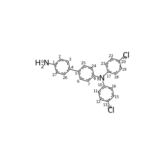 Nc1ccc(-c2ccc(N(c3ccc(Cl)cc3)c3ccc(Cl)cc3)cc2)cc1